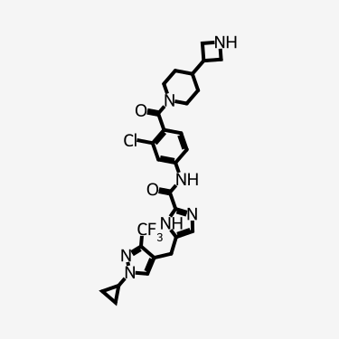 O=C(Nc1ccc(C(=O)N2CCC(C3CNC3)CC2)c(Cl)c1)c1ncc(Cc2cn(C3CC3)nc2C(F)(F)F)[nH]1